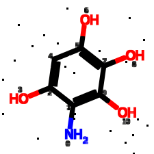 Nc1c(O)cc(O)c(O)c1O